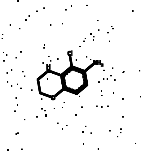 Nc1ccc2c(c1Cl)NCCO2